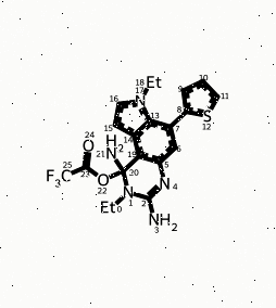 CCN1C(N)=Nc2cc(-c3cccs3)c3c(ccn3CC)c2C1(N)OC(=O)C(F)(F)F